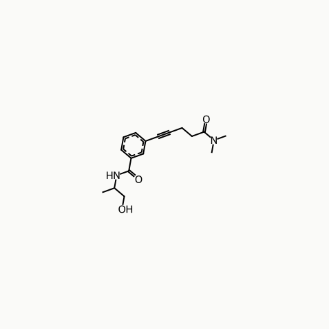 CC(CO)NC(=O)c1cccc(C#CCCC(=O)N(C)C)c1